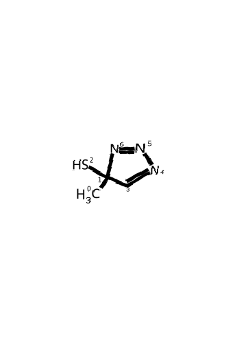 CC1(S)C=NN=N1